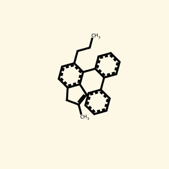 CCCc1ccc2c(c1-c1ccccc1-c1ccccc1)C=C(C)[CH]2